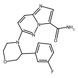 NC(=O)c1cnc2ccc(N3CCOCC3c3cccc(F)c3)nn12